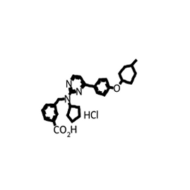 CC1CCC(Oc2ccc(-c3ccnc(N(Cc4cccc(C(=O)O)c4)C4CCCC4)n3)cc2)CC1.Cl